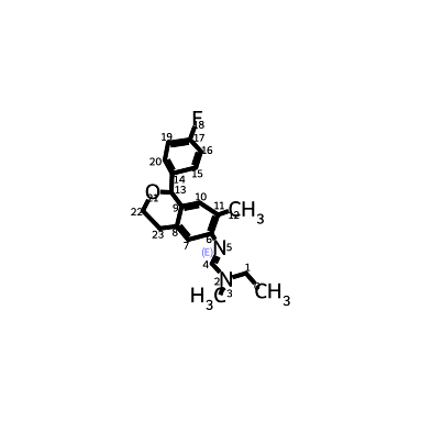 CCN(C)/C=N/c1cc2c(cc1C)C(c1ccc(F)cc1)OCC2